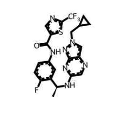 C[C@H](Nc1cnc2cn(CC3CC3)nc2n1)c1cc(NC(=O)c2cnc(C(F)(F)F)s2)ccc1F